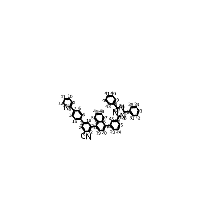 N#Cc1cc(-c2ccc(-c3ccccn3)cc2)cc(-c2ccc(-c3cccc(-c4nc(-c5ccccc5)nc(-c5ccccc5)n4)c3)c3ccccc23)c1